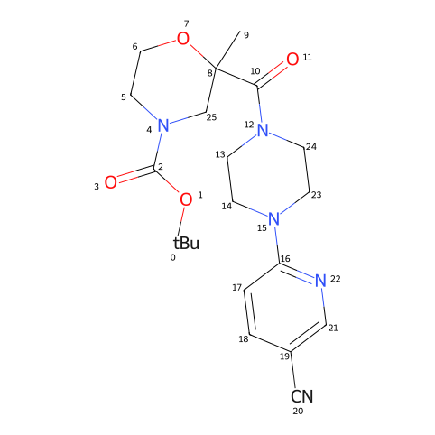 CC(C)(C)OC(=O)N1CCOC(C)(C(=O)N2CCN(c3ccc(C#N)cn3)CC2)C1